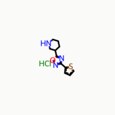 Cl.c1csc(-c2noc(C3CCCNC3)n2)c1